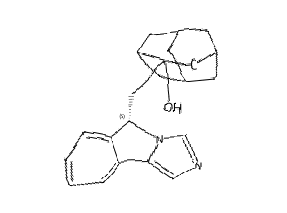 OC1(C[C@H]2c3ccccc3-c3cncn32)CC2CC3CC(C2)CC1C3